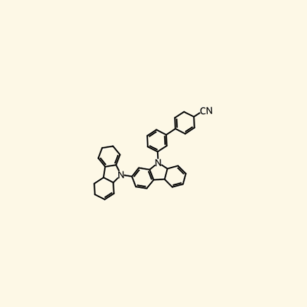 N#CC1C=CC(c2cccc(N3c4cc(N5C6=CCCC=C6C6CCC=CC65)ccc4C4C=CC=CC43)c2)=CC1